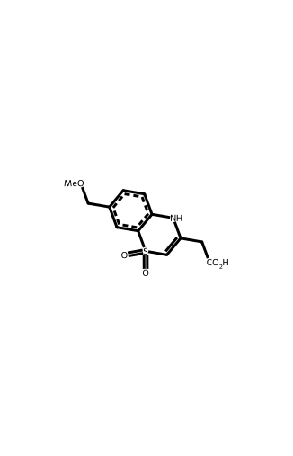 COCc1ccc2c(c1)S(=O)(=O)C=C(CC(=O)O)N2